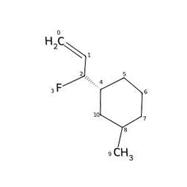 C=CC(F)[C@@H]1CCCC(C)C1